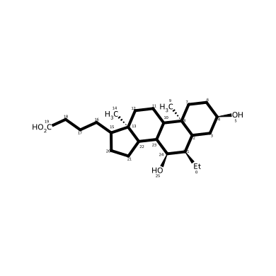 CC[C@@H]1C2C[C@H](O)CC[C@]2(C)C2CC[C@]3(C)C(CCCC(=O)O)CCC3C2[C@@H]1O